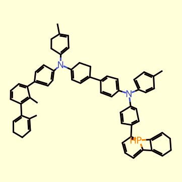 CC1=CC=C(N(C2=CC=C(c3ccc(N(c4ccc(C)cc4)c4ccc(C5=[PH]6C(=CC=C5)C5=CCCC=C56)cc4)cc3)CC2)c2ccc(-c3cccc(C4=CCCC=C4C)c3C)cc2)CC1